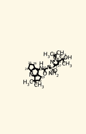 CC(C)n1nc([S@@](N)(=O)=NC(=O)Nc2c3c(nc4c2CCC4(C)C)CCC3)cc1C(C)(C)O